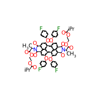 CC(C)C(=O)OCCOC(=O)C(C)N1C(=O)c2cc(Oc3ccc(F)cc3)c3c4c(Oc5ccc(F)cc5)cc5c6c(cc(Oc7ccc(F)cc7)c(c7c(Oc8ccc(F)cc8)cc(c2c37)C1=O)c64)C(=O)N(C(C)C(=O)OCCOC(=O)C(C)C)C5=O